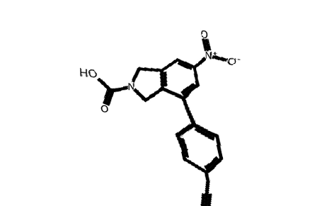 N#Cc1ccc(-c2cc([N+](=O)[O-])cc3c2CN(C(=O)O)C3)cc1